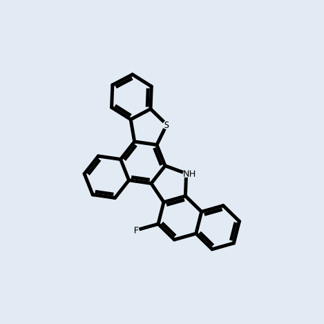 Fc1cc2ccccc2c2[nH]c3c4sc5ccccc5c4c4ccccc4c3c12